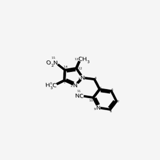 Cc1nn(Cc2cccnc2C#N)c(C)c1[N+](=O)[O-]